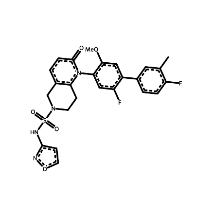 COc1cc(-c2ccc(F)c(C)c2)c(F)cc1-n1c2c(ccc1=O)CN(S(=O)(=O)Nc1ccon1)CC2